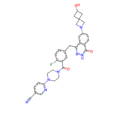 N#Cc1ccc(N2CCN(C(=O)c3cc(Cc4n[nH]c(=O)c5ccc(N6CC7(CC(O)C7)C6)cc45)ccc3F)CC2)nc1